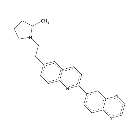 CC1CCCN1CCc1ccc2nc(-c3ccc4nccnc4c3)ccc2c1